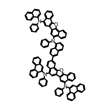 c1ccc(N(c2cccc3ccccc23)c2cc3c4cc(N(c5ccccc5)c5cccc6cc(-c7ccc8c(N(c9ccccc9)c9cc%10ccccc%10c%10ccccc9%10)cc9c%10cc(N(c%11ccccc%11)c%11cc%12ccccc%12c%12ccccc%11%12)c%11ccccc%11c%10oc9c8c7)ccc56)c5ccccc5c4oc3c3ccccc23)cc1